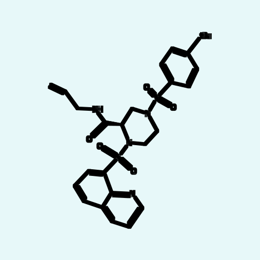 C=CCNC(=O)[C@H]1CN(S(=O)(=O)c2ccc(C(C)(C)C)cc2)CCN1S(=O)(=O)c1cccc2cccnc12